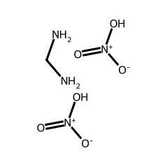 NCN.O=[N+]([O-])O.O=[N+]([O-])O